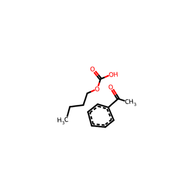 CC(=O)c1ccccc1.CCCCOC(=O)O